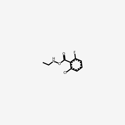 CCNOC(=O)c1c(F)cccc1Cl